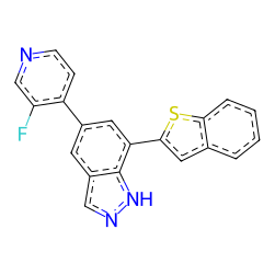 Fc1cnccc1-c1cc(-c2cc3ccccc3s2)c2[nH]ncc2c1